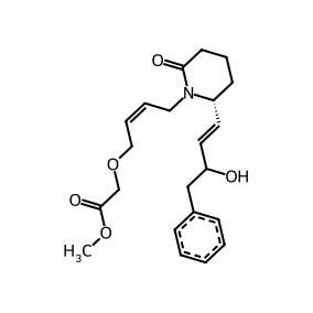 COC(=O)COC/C=C\CN1C(=O)CCC[C@@H]1/C=C/C(O)Cc1ccccc1